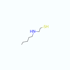 CCCCCNCCS